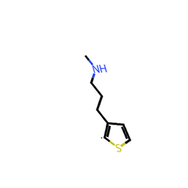 CNCCCc1[c]scc1